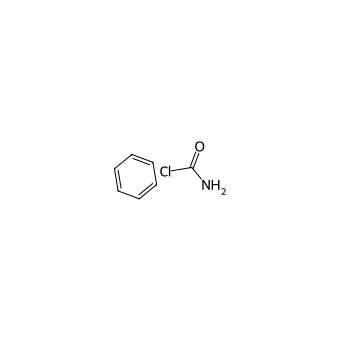 NC(=O)Cl.c1ccccc1